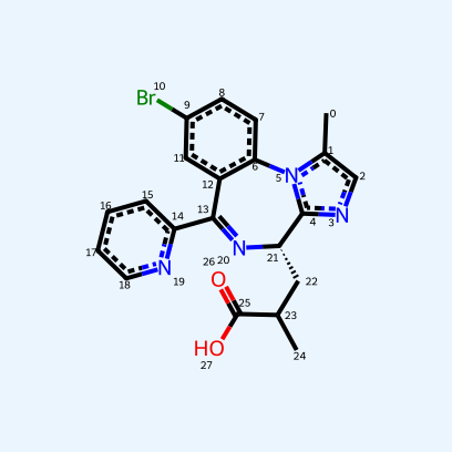 Cc1cnc2n1-c1ccc(Br)cc1C(c1ccccn1)=N[C@H]2CC(C)C(=O)O